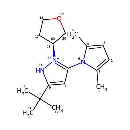 Cc1ccc(C)n1-c1cc(C(C)(C)C)[nH][n+]1[C@H]1CCOC1